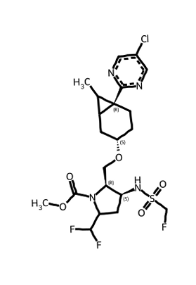 COC(=O)N1C(C(F)F)C[C@H](NS(=O)(=O)CF)[C@@H]1CO[C@H]1CC[C@@]2(c3ncc(Cl)cn3)C(C)C2C1